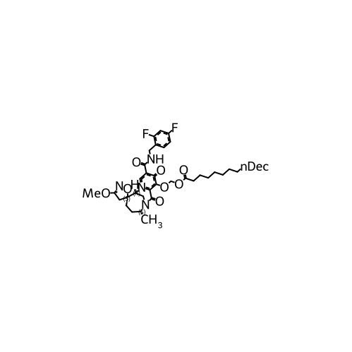 CCCCCCCCCCCCCCCCCC(=O)OCOc1c2n(cc(C(=O)NCc3ccc(F)cc3F)c1=O)[C@@H]1CN(C2=O)[C@@H](C)CC[C@]12CC(OC)=NO2